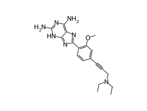 CCN(CC)CC#Cc1ccc(-c2nc3[nH]c(N)nc(N)c-3n2)c(OC)c1